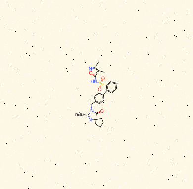 CCCCC1=NC2(CCCC2)C(=O)N1Cc1ccc(-c2ccccc2S(=O)(=O)Nc2onc(C)c2C)cc1